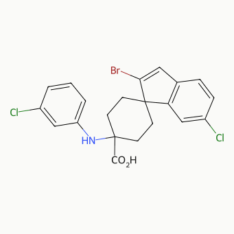 O=C(O)C1(Nc2cccc(Cl)c2)CCC2(CC1)C(Br)=Cc1ccc(Cl)cc12